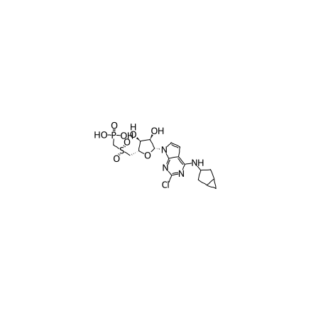 O=P(O)(O)CS(=O)(=O)C[C@H]1O[C@@H](n2ccc3c(NC4CC5CC5C4)nc(Cl)nc32)[C@H](O)[C@@H]1O